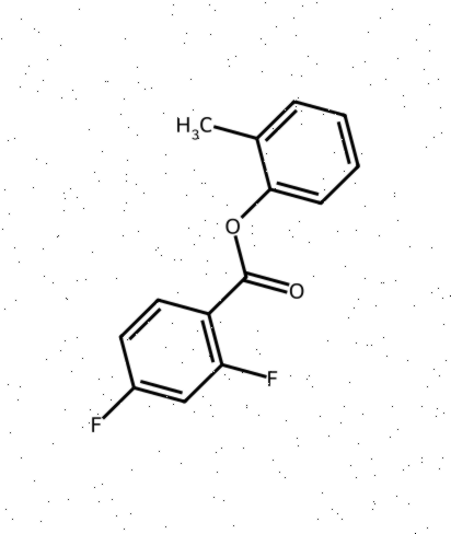 Cc1ccccc1OC(=O)c1ccc(F)cc1F